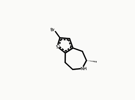 C[C@H]1Cc2cc(Br)sc2CCN1